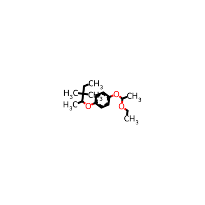 CCOC(C)Oc1ccc(OC(C)C(C)(C)CC)cc1